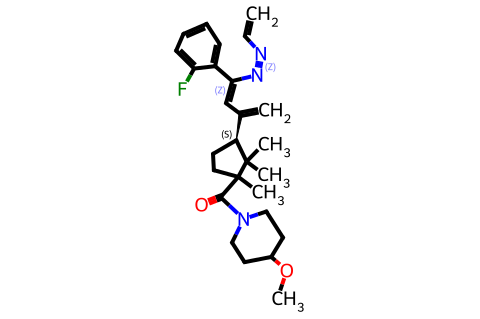 C=C/N=N\C(=C/C(=C)[C@@H]1CCC(C)(C(=O)N2CCC(OC)CC2)C1(C)C)c1ccccc1F